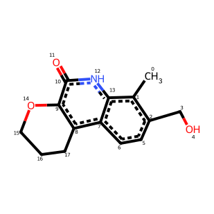 Cc1c(CO)ccc2c3c(c(=O)[nH]c12)OCCC3